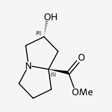 COC(=O)[C@@]12CCCN1C[C@H](O)C2